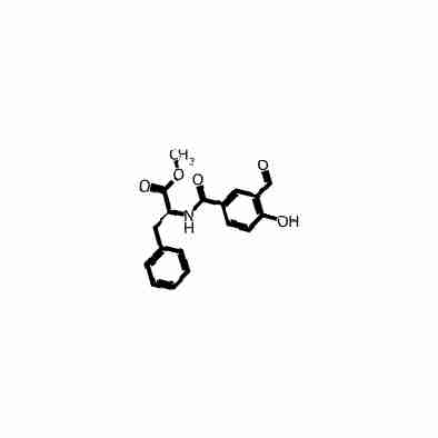 COC(=O)[C@H](Cc1ccccc1)NC(=O)c1ccc(O)c(C=O)c1